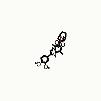 COc1ccc(-c2cn3cc(C4=CC5CCC(C4)N5C(=O)OC(C)(C)C)cc(C)c3n2)cc1OC